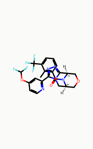 Cc1c(C(=O)N2[C@H]3COC[C@@H]2c2nnc(-c4cc(OC(F)F)ccn4)n2C3)cccc1C(F)(F)F